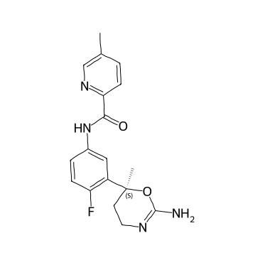 Cc1ccc(C(=O)Nc2ccc(F)c([C@]3(C)CCN=C(N)O3)c2)nc1